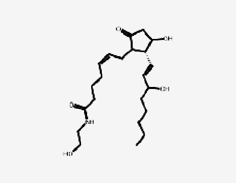 CCCCCC(O)/C=C/[C@H]1C(O)CC(=O)C1C/C=C\CCCC(=O)NCCO